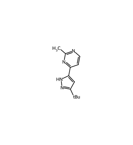 Cc1nccc(-c2cc(C(C)(C)C)n[nH]2)n1